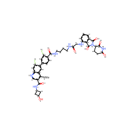 CNc1c(C(=O)NC2CC(O)C2)cnc2cc(F)c(-c3ccc(C(=O)NCCCCNC(=O)CNc4cccc5c4C(=O)N(C4CCC(=O)NC4=O)C5=O)c(F)c3)cc12